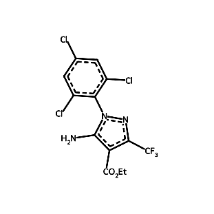 CCOC(=O)c1c(C(F)(F)F)nn(-c2c(Cl)cc(Cl)cc2Cl)c1N